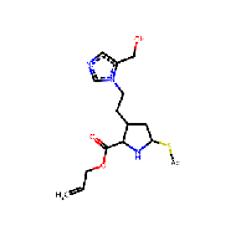 C=CCOC(=O)C1NC(SC(C)=O)CC1CCn1cncc1CO